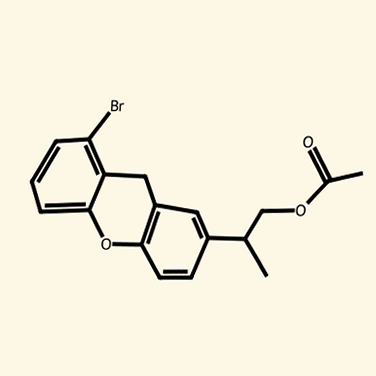 CC(=O)OCC(C)c1ccc2c(c1)Cc1c(Br)cccc1O2